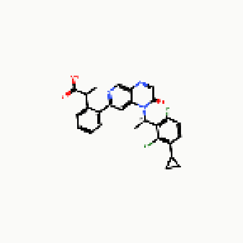 CC(C(=O)O)c1ccccc1-c1cc2c(cn1)ncc(=O)n2[C@H](C)c1c(Cl)ccc(C2CC2)c1Cl